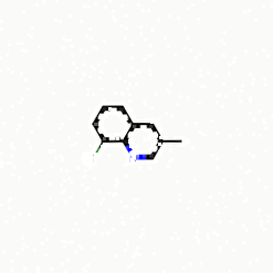 [CH2]c1cnc2c(Cl)cccc2c1